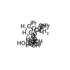 CC(C)CCCC(C)CCCC(C)CCCC(C)CCOCC(CO[C@@H]1OC(CO)[C@@H](O[C@@H]2OC(COS(=O)(=O)O)[C@H](O)C(O)[C@@H]2O)C(O)[C@@H]1O)OCCC(C)CCCC(C)CCCC(C)CCCC(C)C